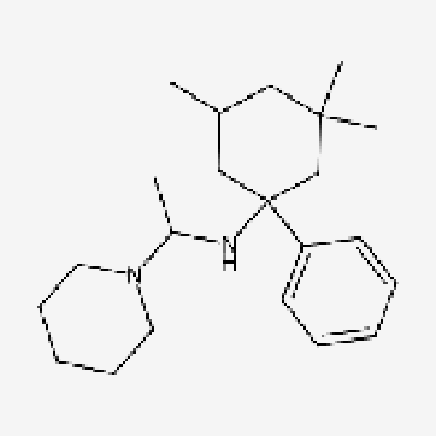 CC1CC(C)(C)CC(NC(C)N2CCCCC2)(c2ccccc2)C1